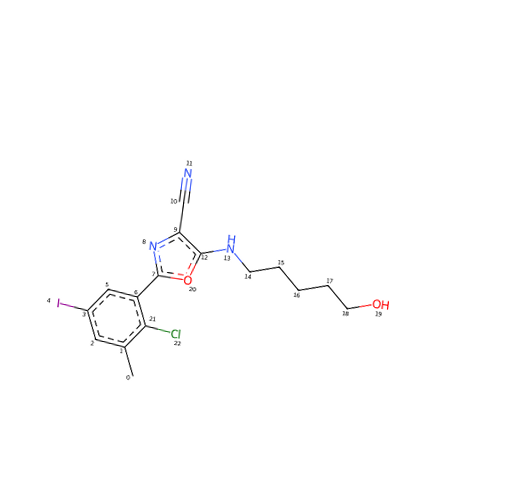 Cc1cc(I)cc(-c2nc(C#N)c(NCCCCCO)o2)c1Cl